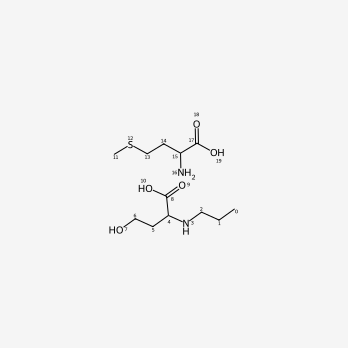 CCCNC(CCO)C(=O)O.CSCCC(N)C(=O)O